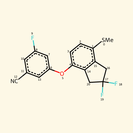 CSc1ccc(Oc2cc(F)cc(C#N)c2)c2c1CC(F)(F)C2